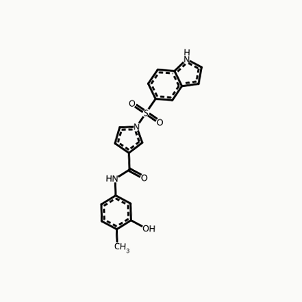 Cc1ccc(NC(=O)c2ccn(S(=O)(=O)c3ccc4[nH]ccc4c3)c2)cc1O